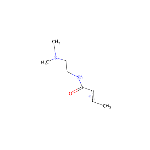 C/C=C/C(=O)NCCN(C)C